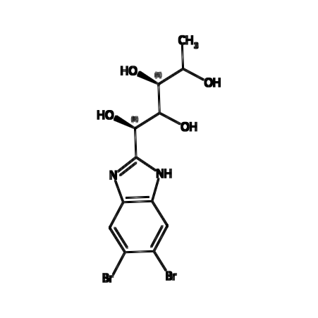 CC(O)[C@H](O)C(O)[C@H](O)c1nc2cc(Br)c(Br)cc2[nH]1